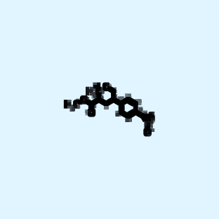 CCC(CC(C)C(=O)OC)c1ccc(C2S[S+]2[O-])cc1